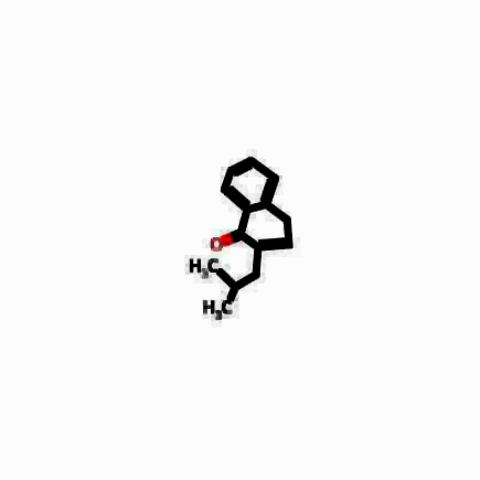 CC(C)CC1=CCc2ccccc2C1=O